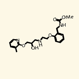 COC(=O)NCc1ccccc1OCCNCC(O)COc1ncccc1C